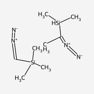 CC(=[N+]=[N-])[SiH](C)C.C[Si](C)(C)C=[N+]=[N-]